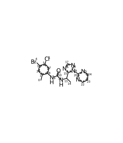 Cc1cc(Br)c(Cl)cc1NC(=O)NC(C)c1ncnn1-c1ncccn1